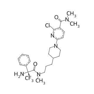 CN(C)C(=O)c1ccc(N2CCC(CCCN(C)C(=O)[C@](N)(c3ccccc3)C(F)(F)F)CC2)nc1Cl